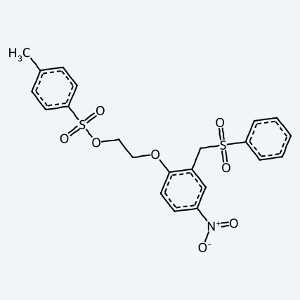 Cc1ccc(S(=O)(=O)OCCOc2ccc([N+](=O)[O-])cc2CS(=O)(=O)c2ccccc2)cc1